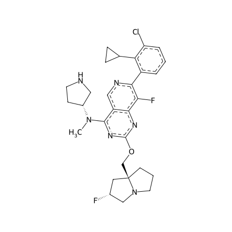 CN(c1nc(OC[C@@]23CCCN2C[C@H](F)C3)nc2c(F)c(-c3cccc(Cl)c3C3CC3)ncc12)[C@@H]1CCNC1